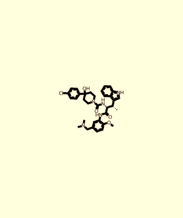 COc1ccc(CN(C)C)cc1NC(=O)[C@H](NC(=O)N1CCC(O)(c2ccc(Cl)cc2)CC1)[C@@H](C)c1c[nH]c2ccccc12